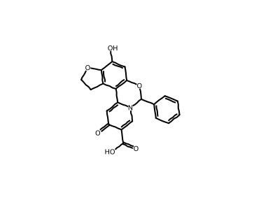 O=C(O)c1cn2c(cc1=O)-c1c(cc(O)c3c1CCO3)OC2c1ccccc1